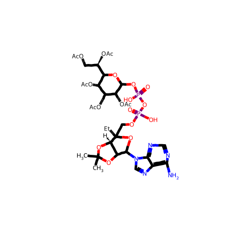 CCC1(COP(=O)(O)OP(=O)(O)OC2OC([C@@H](COC(C)=O)OC(C)=O)C(OC(C)=O)C(OC(C)=O)C2OC(C)=O)OC(n2cnc3c(N)ncnc32)C2OC(C)(C)O[C@H]21